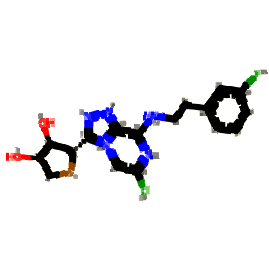 O[C@@H]1[C@H](O)CS[C@H]1c1nnc2c(NCCc3cccc(F)c3)nc(Cl)cn12